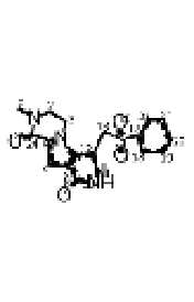 CN1CCn2c(cc3c(=O)[nH]nc(CS(=O)(=O)c4ccccc4)c32)C1=O